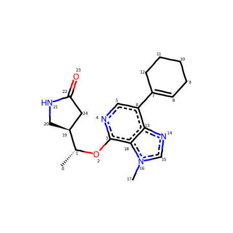 C[C@@H](Oc1ncc(C2=CCCCC2)c2ncn(C)c12)[C@H]1CNC(=O)C1